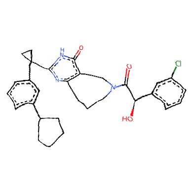 O=C([C@H](O)c1cccc(Cl)c1)N1CCCc2nc(C3(c4cccc(C5CCCC5)c4)CC3)[nH]c(=O)c2C1